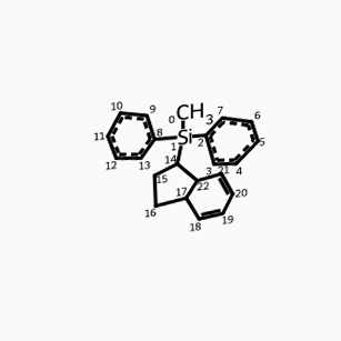 C[Si](c1ccccc1)(c1ccccc1)C1CCC2C=CC=CC21